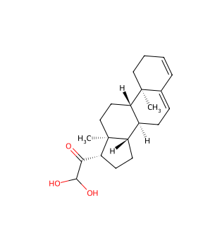 C[C@]12CC[C@H]3[C@@H](CC=C4C=CCC[C@@]43C)[C@@H]1CC[C@@H]2C(=O)C(O)O